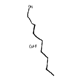 CCCCCCCCO.[CsH]